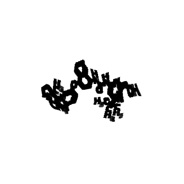 CN1CCC[C@@]1(C)c1nnc2ccc(O[C@@H]3CC[C@H](NC(=O)Nc4cc(C(C)(C)C)nc(CO)n4)c4ccccc43)cn12